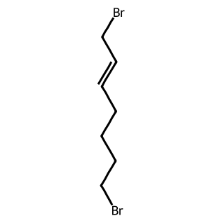 BrCC=CCCCCBr